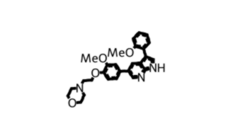 COc1cc(-c2cnc3[nH]cc(-c4ccccc4OC)c3c2)ccc1OCCN1CCOCC1